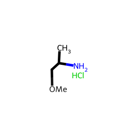 COCC(C)N.Cl